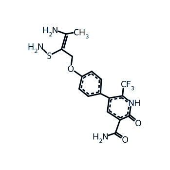 C/C(N)=C(\COc1ccc(-c2cc(C(N)=O)c(=O)[nH]c2C(F)(F)F)cc1)SN